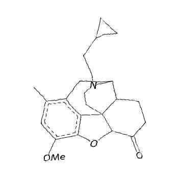 COc1cc(C)c2c3c1OC1C(=O)CCC4C(C2)N(CC2CC2)CCC314